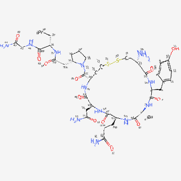 CC[C@H](C)[C@@H]1NC(=O)[C@H](Cc2ccc(O)cc2)NC(=O)[C@@H](N)CSSCC[C@@H](C(=O)N2CCC[C@H]2CC(=O)N[C@@H](CC(C)C)C(=O)NCC(N)=O)NC(=O)[C@H](CC(N)=O)NC(=O)[C@H](CCC(N)=O)NC1=O